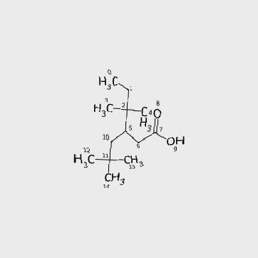 CCC(C)(C)C(CC(=O)O)CC(C)(C)C